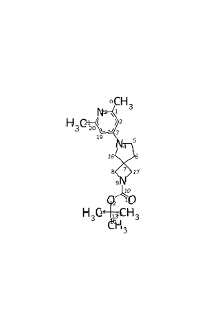 Cc1cc(N2CCC3(CN(C(=O)OC(C)(C)C)C3)C2)cc(C)n1